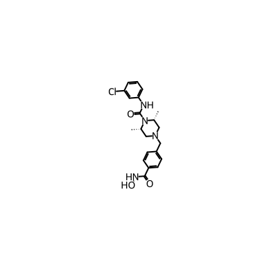 C[C@@H]1CN(Cc2ccc(C(=O)NO)cc2)C[C@H](C)N1C(=O)Nc1cccc(Cl)c1